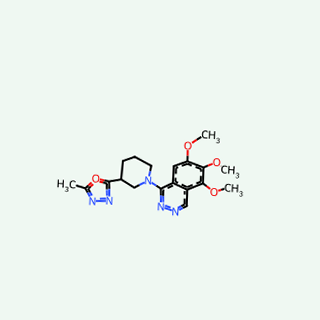 COc1cc2c(N3CCCC(c4nnc(C)o4)C3)nncc2c(OC)c1OC